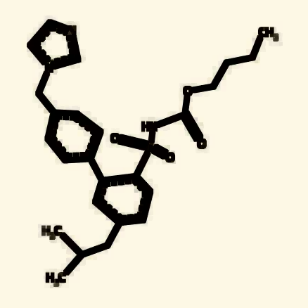 CCCCOC(=O)NS(=O)(=O)c1ccc(CC(C)C)cc1-c1ccc(Cn2ccnc2)cc1